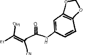 CC/C(O)=C(\C#N)C(=O)Nc1ccc2c(c1)OCO2